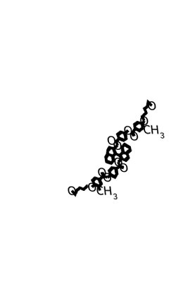 Cc1cc(C(=O)Oc2ccc(C(=O)Oc3ccc4ccccc4c3-c3c(OC(=O)c4ccc(OC(=O)c5ccc(OCCCC6CO6)c(C)c5)cc4)ccc4ccccc34)cc2)ccc1OCCCC1CO1